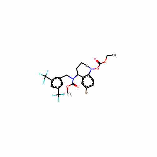 CCOC(=O)ON1CCCC(N(Cc2cc(C(F)(F)F)cc(C(F)(F)F)c2)C(=O)OC)c2cc(Br)ccc21